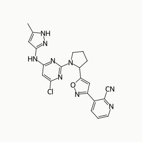 Cc1cc(Nc2cc(Cl)nc(N3CCCC3c3cc(-c4cccnc4C#N)no3)n2)n[nH]1